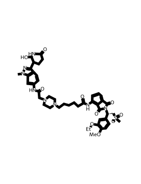 CCOc1cc([C@@H](CS(C)(=O)=O)N2C(=O)c3cccc(NC(=O)CCCCCN4CCN(CC(=O)Nc5ccc6c(C7CCC(=O)NC7O)nn(C)c6c5)CC4)c3C2=O)ccc1OC